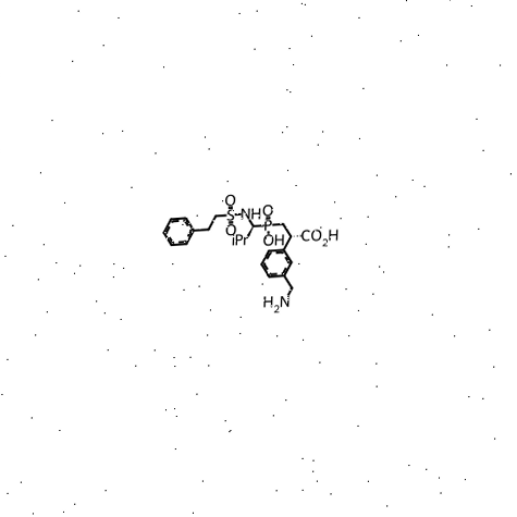 CC(C)[C@@H](NS(=O)(=O)CCc1ccccc1)P(=O)(O)C[C@H](C(=O)O)c1cccc(CN)c1